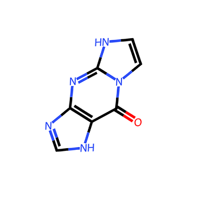 O=c1c2[nH]cnc2nc2[nH]ccn12